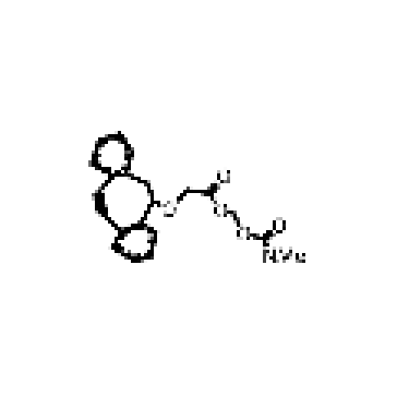 CNC(=O)OCOC(=O)COC1Cc2ccccc2C#Cc2ccccc21